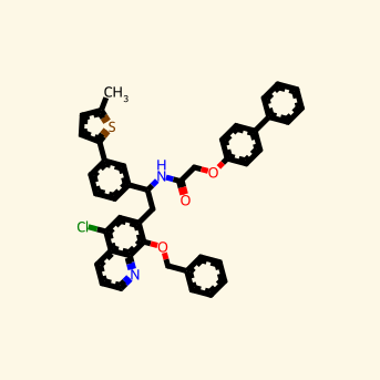 Cc1ccc(-c2cccc(C(Cc3cc(Cl)c4cccnc4c3OCc3ccccc3)NC(=O)COc3ccc(-c4ccccc4)cc3)c2)s1